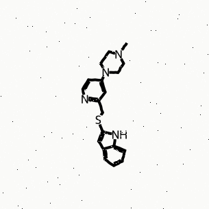 CN1CCN(c2ccnc(CSc3cc4ccccc4[nH]3)c2)CC1